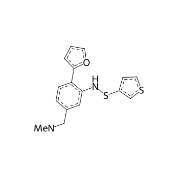 CNCc1ccc(-c2ccco2)c(NSc2ccsc2)c1